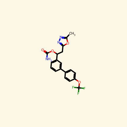 Cc1nnc(CC(OC(N)=O)c2cccc(-c3ccc(OC(F)(F)F)cc3)c2)o1